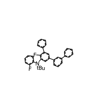 CC(C)(C)N(c1ccccc1F)c1cc(-c2cccc(-c3ccccc3)c2)cc(-c2ccccc2)c1F